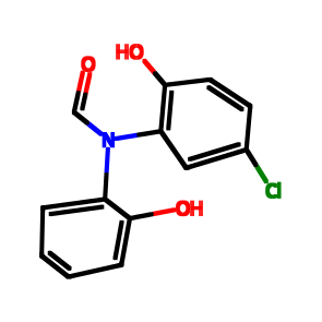 O=CN(c1ccccc1O)c1cc(Cl)ccc1O